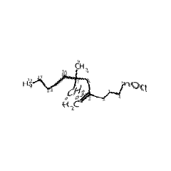 C=C(CCCCCCCCCCC)CC(C)(C)CCCS